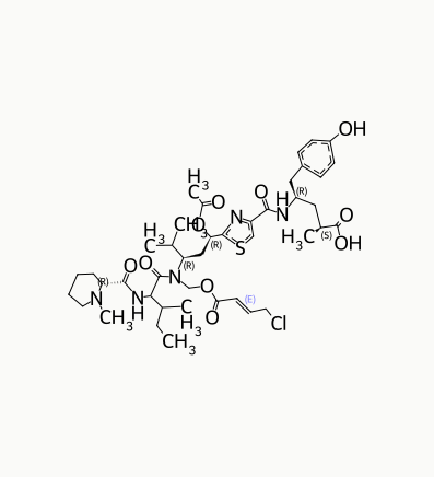 CCC(C)C(NC(=O)[C@H]1CCCCN1C)C(=O)N(COC(=O)/C=C/CCl)[C@H](C[C@@H](OC(C)=O)c1nc(C(=O)N[C@@H](Cc2ccc(O)cc2)C[C@H](C)C(=O)O)cs1)C(C)C